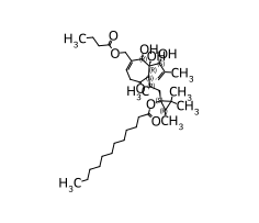 CCCCCCCCCCCC(=O)O[C@@]1(C[C@@H](C)[C@]23C=C(C)[C@H](O)[C@@]2(O)[C@H](O)C(COC(=O)CCC)=CCC3=O)[C@H](C)C1(C)C